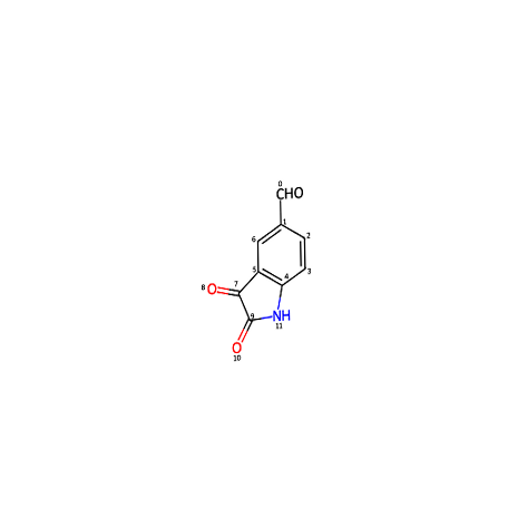 O=Cc1ccc2c(c1)C(=O)C(=O)N2